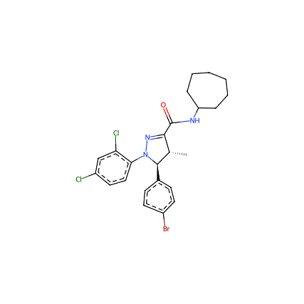 C[C@H]1C(C(=O)NC2CCCCCC2)=NN(c2ccc(Cl)cc2Cl)[C@@H]1c1ccc(Br)cc1